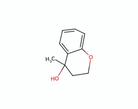 CC1(O)CCOc2ccccc21